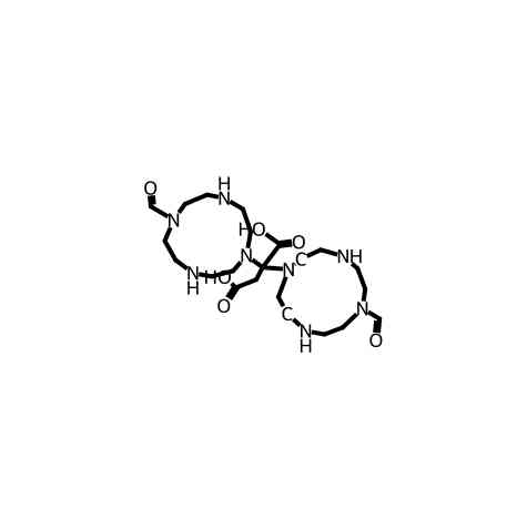 O=CN1CCNCCN(C(CC(=O)O)(C(=O)O)N2CCNCCN(C=O)CCNCC2)CCNCC1